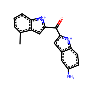 Cc1cccc2[nH]c(C(=O)c3cc4cc(N)ccc4[nH]3)cc12